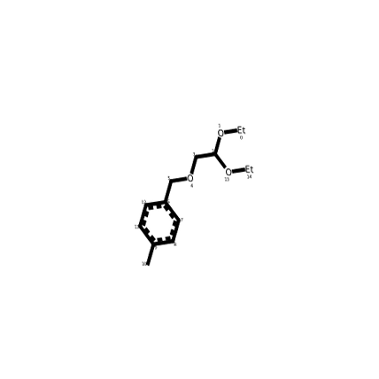 CCOC(COCc1ccc(C)cc1)OCC